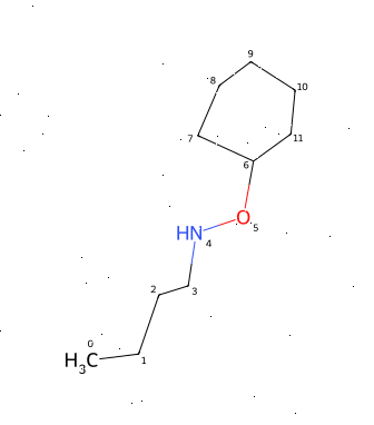 CCCCNOC1CCCCC1